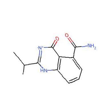 CC(C)C1=[N+]C(=O)c2c(cccc2C(N)=O)N1